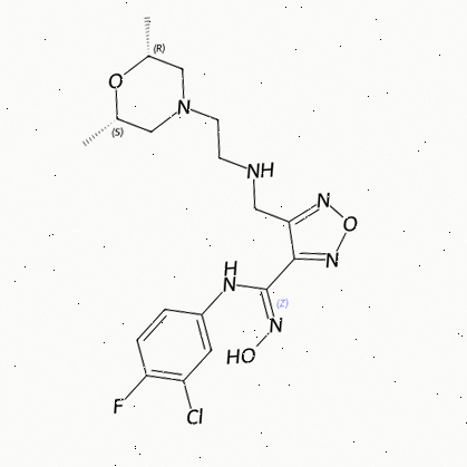 C[C@@H]1CN(CCNCc2nonc2/C(=N/O)Nc2ccc(F)c(Cl)c2)C[C@H](C)O1